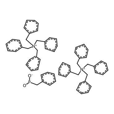 [O-]P([O-])Cc1ccccc1.c1ccc(C[N+](Cc2ccccc2)(Cc2ccccc2)Cc2ccccc2)cc1.c1ccc(C[N+](Cc2ccccc2)(Cc2ccccc2)Cc2ccccc2)cc1